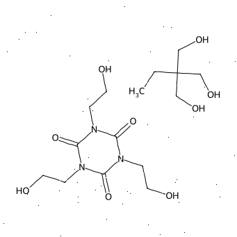 CCC(CO)(CO)CO.O=c1n(CCO)c(=O)n(CCO)c(=O)n1CCO